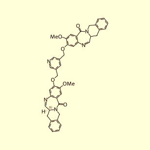 COc1cc2c(cc1OCc1cncc(COc3cc4c(cc3OC)C(=O)N3Cc5ccccc5C[C@H]3C=N4)c1)N=CC1Cc3ccccc3CN1C2=O